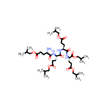 CC(C)COC(=O)CC[C@H](NC(=O)[C@H](CCC(=O)OCC(C)C)NC(=O)[C@@H](N)CCC(=O)OCC(C)C)C(=O)N[C@@H](CCC(=O)OCC(C)C)C(=O)OCC(C)C